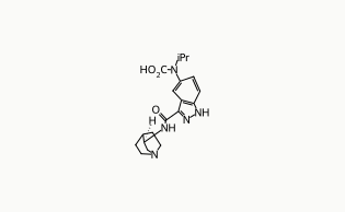 CC(C)N(C(=O)O)c1ccc2[nH]nc(C(=O)N[C@H]3CN4CCC3CC4)c2c1